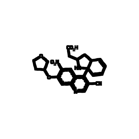 N#Cc1cnc2cc(OC3CCOC3)c([N+](=O)[O-])cc2c1C12C=CC=CC1CC(CC(=O)O)N2